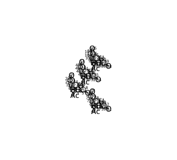 CC(=O)S[C@@H]1CC2=CC(=O)CC[C@]2(C)[C@H]2CC[C@@]3(C)[C@@H](CC[C@@]34CCC(=O)O4)[C@H]12.CC(=O)S[C@@H]1CC2=CC(=O)CC[C@]2(C)[C@H]2CC[C@@]3(C)[C@@H](CC[C@@]34CCC(=O)O4)[C@H]12.CC(=O)S[C@@H]1CC2=CC(=O)CC[C@]2(C)[C@H]2CC[C@@]3(C)[C@@H](CC[C@@]34CCC(=O)O4)[C@H]12.CC(=O)S[C@@H]1CC2=CC(=O)CC[C@]2(C)[C@H]2CC[C@@]3(C)[C@@H](CC[C@@]34CCC(=O)O4)[C@H]12